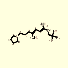 C/C(=C\C=C(/N)OCC(F)(F)F)CCCN1CCCC1